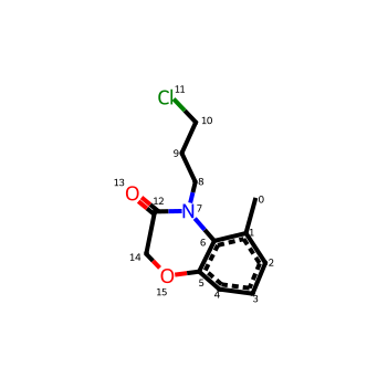 Cc1cccc2c1N(CCCCl)C(=O)CO2